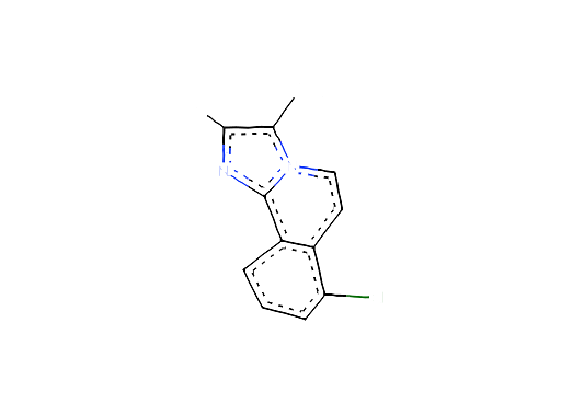 Cc1nc2c3cccc(Cl)c3ccn2c1C